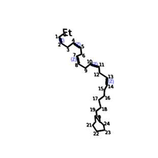 CC/C=C\C/C=C\C/C=C\C/C=C\C/C=C\CCCCCN1CCCC1